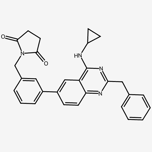 O=C1CCC(=O)N1Cc1cccc(-c2ccc3nc(Cc4ccccc4)nc(NC4CC4)c3c2)c1